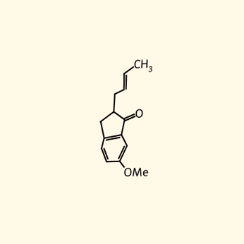 C/C=C/CC1Cc2ccc(OC)cc2C1=O